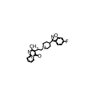 Cc1nc2ccccn2c(=O)c1CCN1CCC(c2noc3cc(F)ccc23)CC1